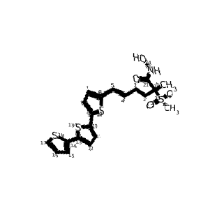 CC(CCCCc1ccc(-c2ccc(-c3cccs3)s2)s1)(C(=O)NO)S(C)(=O)=O